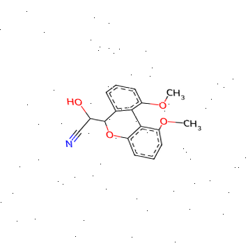 COc1cccc2c1-c1c(OC)cccc1C(C(O)C#N)O2